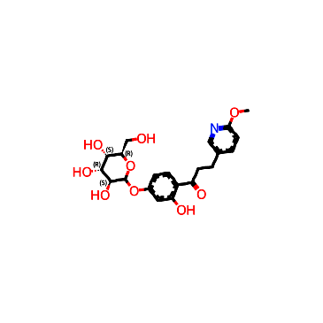 COc1ccc(CCC(=O)c2ccc(OC3O[C@H](CO)[C@@H](O)[C@@H](O)[C@@H]3O)cc2O)cn1